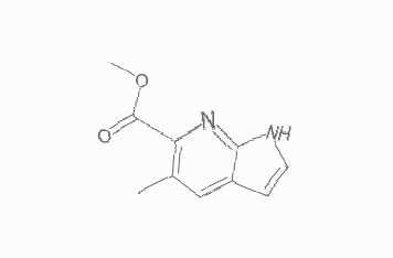 COC(=O)c1nc2[nH]ccc2cc1C